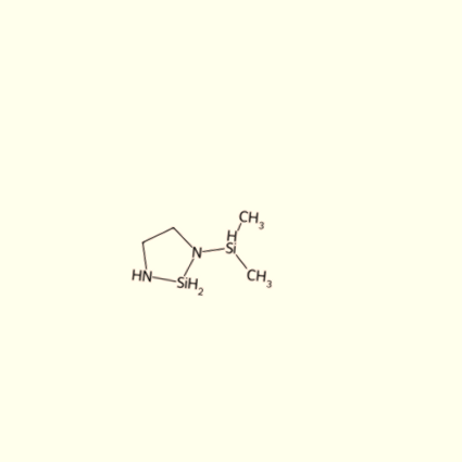 C[SiH](C)N1CCN[SiH2]1